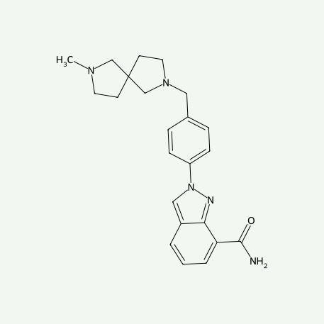 CN1CCC2(CCN(Cc3ccc(-n4cc5cccc(C(N)=O)c5n4)cc3)C2)C1